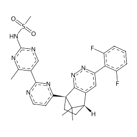 Cc1nc(NS(C)(=O)=O)ncc1-c1nccc([C@@]23CC[C@@H](c4cc(-c5c(F)cccc5F)nnc42)C3(C)C)n1